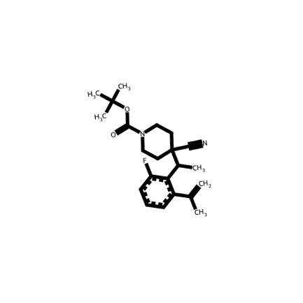 C=C(C)c1cccc(F)c1C(C)C1(C#N)CCN(C(=O)OC(C)(C)C)CC1